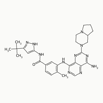 Cc1ccc(C(=O)Nc2cc(C(C)(C)C)n[nH]2)cc1Nc1ncnc2c(N)nc(N3CCN4CCCC4C3)nc12